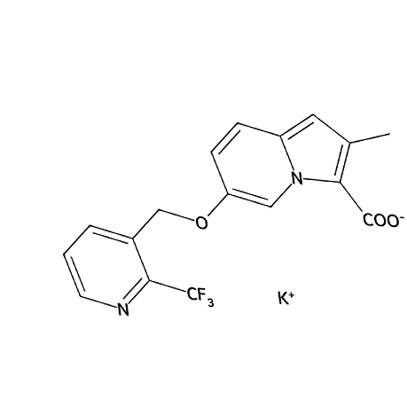 Cc1cc2ccc(OCc3cccnc3C(F)(F)F)cn2c1C(=O)[O-].[K+]